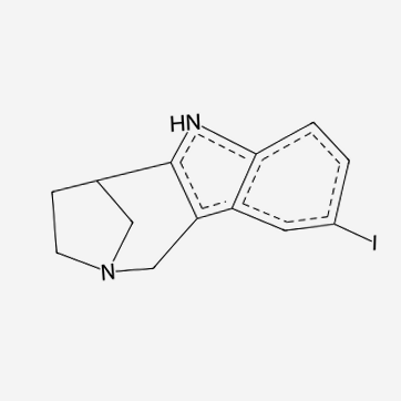 Ic1ccc2[nH]c3c(c2c1)CN1CCC3C1